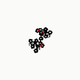 c1ccc(-c2cc(-n3c4c(c5cccc(-c6ccccc6-c6ccc(-c7cc(-c8ccccc8)nc(-n8c9c(c%10cccc(-c%11ccccc%11)c%108)-c8ccccc8Oc8ccccc8-9)n7)cc6)c53)-c3ccccc3Oc3ccccc3-4)nc(-c3ccccc3)n2)cc1